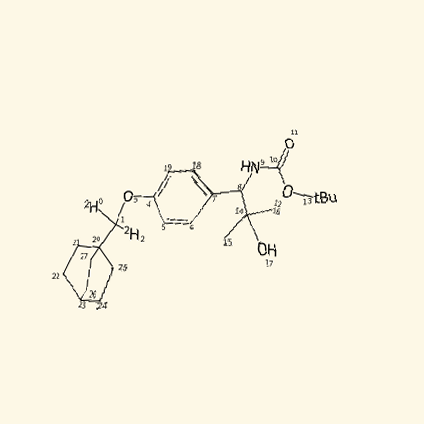 [2H]C([2H])(Oc1ccc(C(NC(=O)OC(C)(C)C)C(C)(C)O)cc1)C12CCC(CC1)CC2